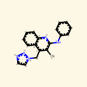 N#Cc1c(Nc2ccccc2)nc2ccccc2c1Cn1ccnn1